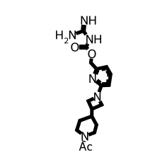 CC(=O)N1CCC(C2CN(c3cccc(COC(=O)NC(=N)N)n3)C2)CC1